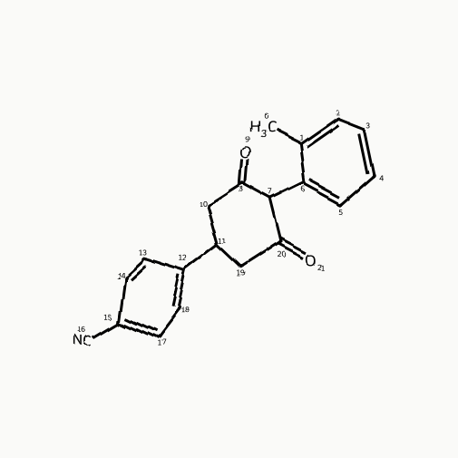 Cc1ccccc1C1C(=O)CC(c2ccc(C#N)cc2)CC1=O